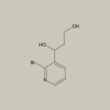 OCCC(O)c1cccnc1Br